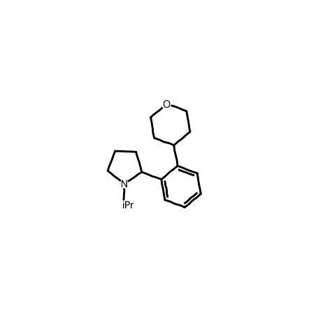 CC(C)N1CCCC1c1ccccc1C1CCOCC1